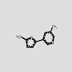 Cc1cncc(-c2ccc(C)s2)c1